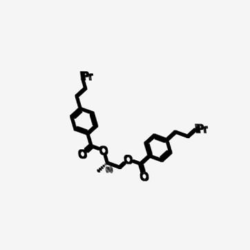 CC(C)CCc1ccc(C(=O)OC[C@H](C)OC(=O)c2ccc(CCC(C)C)cc2)cc1